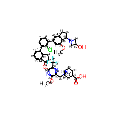 COc1cc(-c2cccc(-c3cccc4c3CCC4Oc3nc(OC)c(CN4CC5(C(=O)O)CCC4CC5)nc3C(F)(F)F)c2Cl)cc2c1C(N1CC(O)C1)CC2